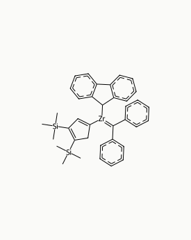 C[Si](C)(C)C1=C([Si](C)(C)C)C[C]([Zr](=[C](c2ccccc2)c2ccccc2)[CH]2c3ccccc3-c3ccccc32)=C1